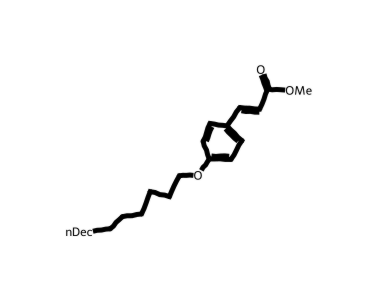 CCCCCCCCCCCCCCCCOc1ccc(C=CC(=O)OC)cc1